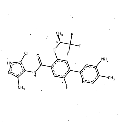 Cc1cnc(-c2cc(O[C@@H](C)C(F)(F)F)c(C(=O)Nc3c(C)n[nH]c3Cl)cc2F)cc1N